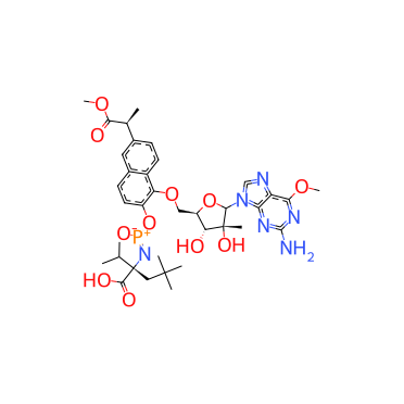 COC(=O)[C@@H](C)c1ccc2c(OC[C@H]3OC(n4cnc5c(OC)nc(N)nc54)[C@](C)(O)[C@@H]3O)c(O/[P+]([O-])=N/[C@](CC(C)(C)C)(C(=O)O)C(C)C)ccc2c1